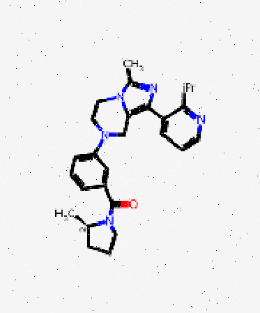 Cc1nc(-c2cccnc2C(C)C)c2n1CCN(c1cccc(C(=O)N3CCC[C@H]3C)c1)C2